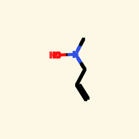 C=CCN(C)O